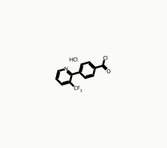 Cl.O=C(Cl)c1ccc(-c2ncccc2C(F)(F)F)cc1